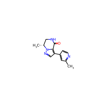 Cc1cc(-c2cnn3c2C(=O)NC[C@H]3C)ccn1